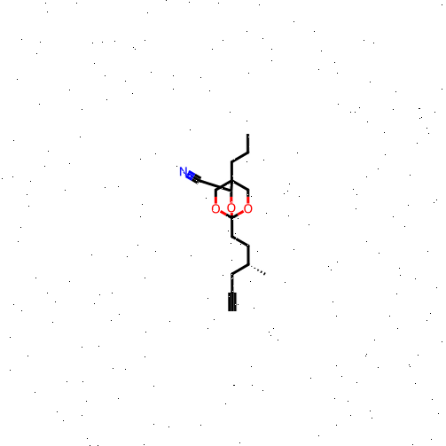 C#CC[C@@H](C)CCC12OCC(CCC)(CO1)C(C#N)O2